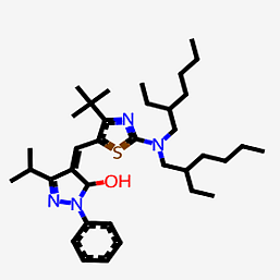 CCCCC(CC)CN(CC(CC)CCCC)c1nc(C(C)(C)C)c(/C=C2/C(C(C)C)=NN(c3ccccc3)C2O)s1